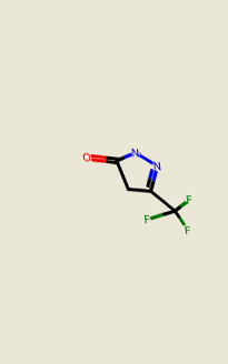 O=C1CC(C(F)(F)F)=N[N]1